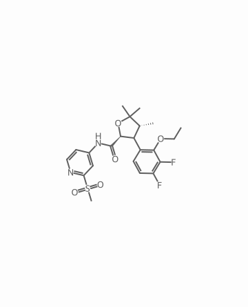 CCOc1c(C2[C@@H](C(=O)Nc3ccnc(S(C)(=O)=O)c3)OC(C)(C)[C@@H]2C)ccc(F)c1F